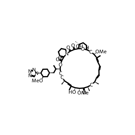 CO[C@H]1C[C@@H]2CC[C@@H](C)[C@@](O)(O2)C(=O)C(=O)N2CCCC[C@H]2C(=O)O[C@H](C(C)C[C@@H]2CC[C@H](n3cnnn3)[C@H](OC)C2)CC[C@H](C)/C=C(\C)[C@@H](O)[C@@H](OC)C(=O)[C@H](C)C[C@H](C)/C=C/C=C/C=C/1C